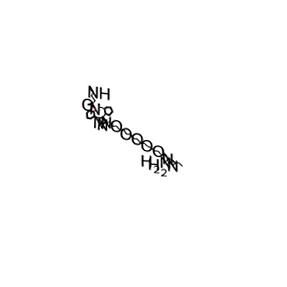 CC/C(N)=C/N(N)CCOCCOCCOCCOCCOCCn1nnc2c1-c1ccccc1CN(C(=O)CCNC)c1ccccc1-2